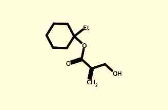 C=C(CO)C(=O)OC1(CC)CCCCC1